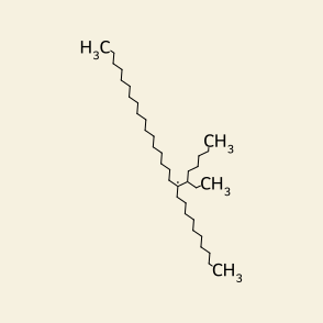 CCCCCCCCCCCCCCCCC[C](CCCCCCCCCC)C(CC)CCCCC